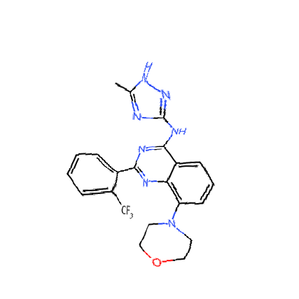 Cc1nc(Nc2nc(-c3ccccc3C(F)(F)F)nc3c(N4CCOCC4)cccc23)n[nH]1